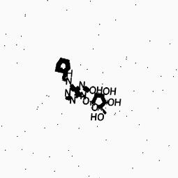 OC[C@H]1O[C@H](On2cnc3c(NCc4ccccc4)ncnc32)[C@H](O)[C@@H](O)[C@@H]1O